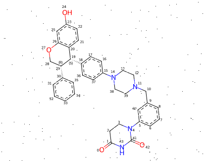 O=C1CCN(c2cccc(CN3CCN(c4ccc([C@H]5c6ccc(O)cc6OC[C@H]5c5ccccc5)cc4)CC3)c2)C(=O)N1